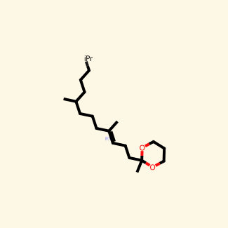 C/C(=C\CCC1(C)OCCCO1)CCCC(C)CCCC(C)C